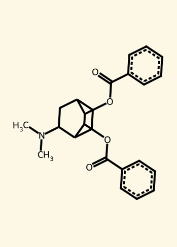 CN(C)C1CC2CCC1C(OC(=O)c1ccccc1)C2OC(=O)c1ccccc1